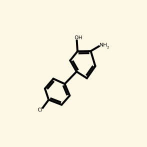 Nc1ccc(-c2ccc(Cl)cc2)cc1O